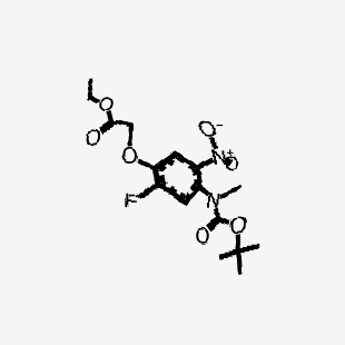 CCOC(=O)COc1cc([N+](=O)[O-])c(N(C)C(=O)OC(C)(C)C)cc1F